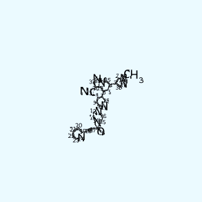 Cn1cc(-c2cc(-c3ccc(N4CCN(C(=O)C#Cc5ccccn5)CC4)nc3)c3c(C#N)cnn3c2)cn1